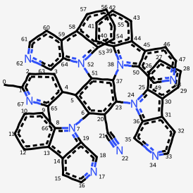 Cc1ccc(-c2c(-n3c4ccccc4c4ccncc43)c(C#N)c(-n3c4ccccc4c4ccncc43)c(-n3c4ccccc4c4ccncc43)c2-n2c3ccccc3c3ccncc32)c(C)n1